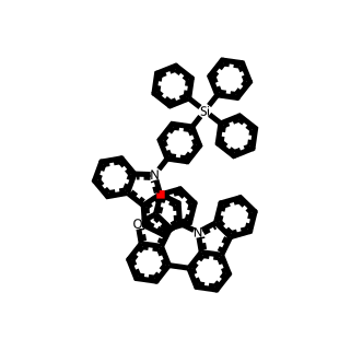 c1ccc([Si](c2ccccc2)(c2ccccc2)c2ccc(-n3c4ccccc4c4ccc(-n5c6ccccc6c6cccc(-c7cccc8oc9ccccc9c78)c65)cc43)cc2)cc1